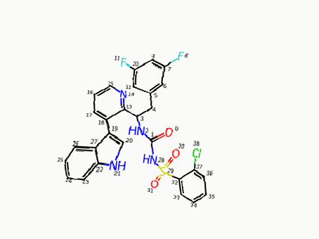 O=C(NC(Cc1cc(F)cc(F)c1)c1ncccc1-c1c[nH]c2ccccc12)NS(=O)(=O)c1ccccc1Cl